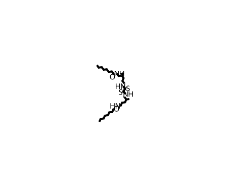 CCCCCCCCONCCCC(C)CNC(=S)C(=S)NCCCC(C)CNC(=O)CCCCCCC